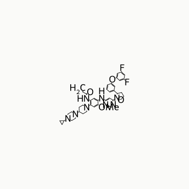 C=CC(=O)Nc1cc(Nc2cc(N3OCCC3c3cccc(Oc4cc(F)cc(F)c4)c3)ncn2)c(OC)cc1N1CCC(N2CCN(C3CC3)CC2)CC1